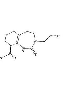 NC(=O)[C@H]1CCCC2=C1NC(=S)N(CCCl)CC2